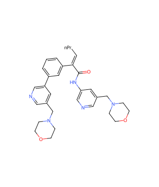 CCC/C=C(/C(=O)Nc1cncc(CN2CCOCC2)c1)c1cccc(-c2cncc(CN3CCOCC3)c2)c1